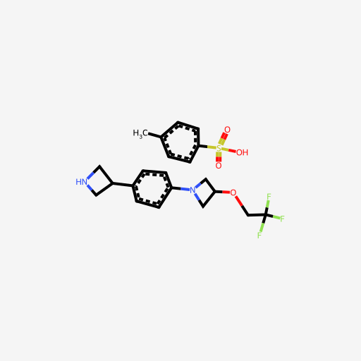 Cc1ccc(S(=O)(=O)O)cc1.FC(F)(F)COC1CN(c2ccc(C3CNC3)cc2)C1